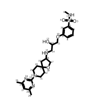 CNS(=O)(=O)c1cccc(OCC(O)CNC2COC3(CCN(c4nc(C)cc(C)n4)CC3)C2)c1